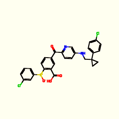 O=C(c1ccc([S+]([O-])c2cccc(Cl)c2)c(C(=O)O)c1)c1ccc(NCC2(c3ccc(Cl)cc3)CC2)cn1